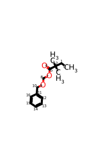 CCC(C)(C)C(=O)OCOCc1ccccc1